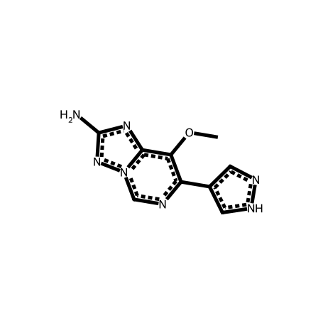 COc1c(-c2cn[nH]c2)ncn2nc(N)nc12